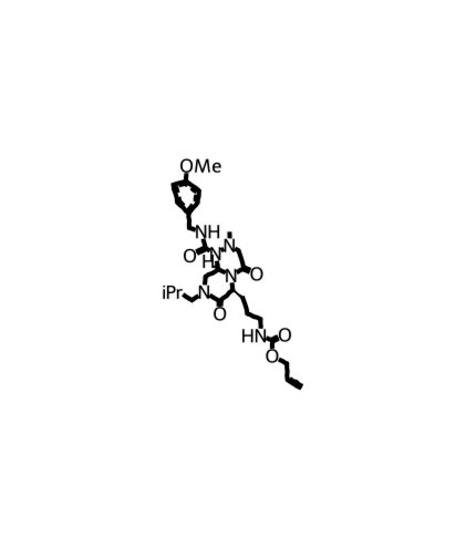 C=CCOC(=O)NCCC[C@H]1C(=O)N(CC(C)C)C[C@H]2N1C(=O)CN(C)N2C(=O)NCc1ccc(OC)cc1